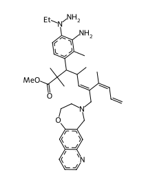 C=C/C=C(C)\C(=C/C(C)C(c1ccc(N(N)CC)c(N)c1C)C(C)(C)C(=O)OC)CN1CCOc2cc3cccnc3cc2C1